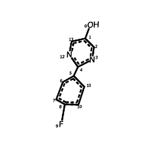 Oc1cnc(-c2ccc(F)cc2)nc1